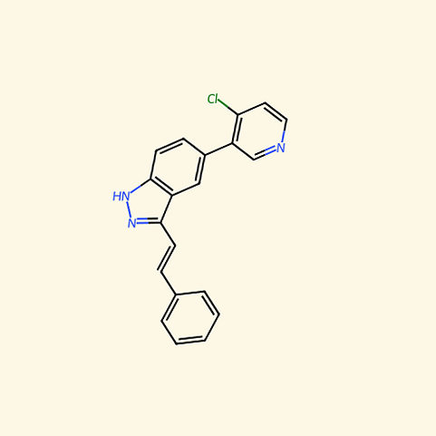 Clc1ccncc1-c1ccc2[nH]nc(/C=C/c3ccccc3)c2c1